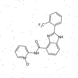 O=C(Nc1cccc[n+]1[O-])c1cccc2[nH]c(-c3ccccc3C(F)(F)F)nc12